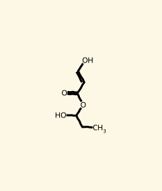 CCC(O)OC(=O)C=CO